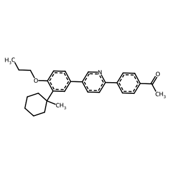 CCCOc1ccc(-c2ccc(-c3ccc(C(C)=O)cc3)nc2)cc1C1(C)CCCCC1